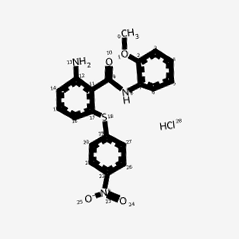 COc1ccccc1NC(=O)c1c(N)cccc1Sc1ccc([N+](=O)[O-])cc1.Cl